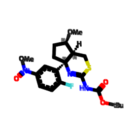 CO[C@@H]1CC[C@]2(c3cc([N+](=O)OC)ccc3F)N=C(NC(=O)OC(C)(C)C)SC[C@H]12